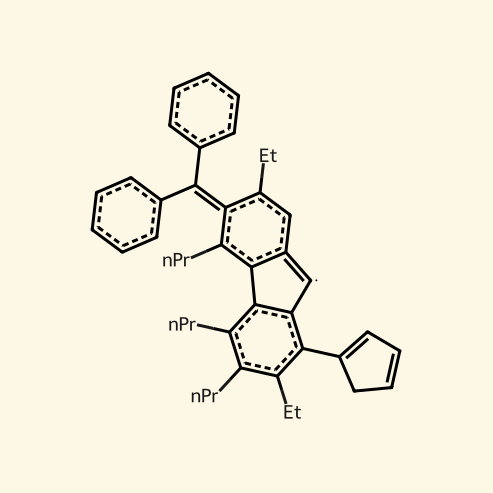 CCCc1c(CC)c(C2=CC=CC2)c2c(c1CCC)-c1c(CCC)c(=C(c3ccccc3)c3ccccc3)c(CC)cc1=[C]2